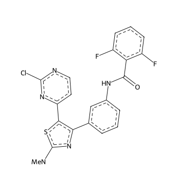 CNc1nc(-c2cccc(NC(=O)c3c(F)cccc3F)c2)c(-c2ccnc(Cl)n2)s1